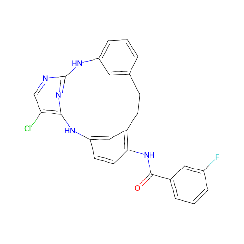 O=C(Nc1ccc2cc1CCc1cccc(c1)Nc1ncc(Cl)c(n1)N2)c1cccc(F)c1